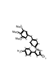 COc1cc(Cc2ccc(-n3nc(C(F)(F)F)cc3-c3ccc(C)cc3)cc2)cc(OC)c1OC